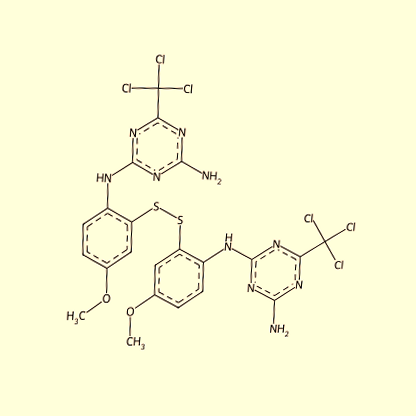 COc1ccc(Nc2nc(N)nc(C(Cl)(Cl)Cl)n2)c(SSc2cc(OC)ccc2Nc2nc(N)nc(C(Cl)(Cl)Cl)n2)c1